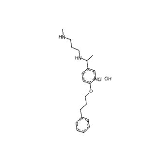 CNCCCNC(C)c1ccc(OCCCc2ccccc2)cc1.Cl.Cl